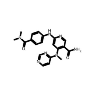 CN(C)C(=O)c1ccc(Nc2cc(N(C)c3ccncn3)c(C(N)=O)cn2)cc1